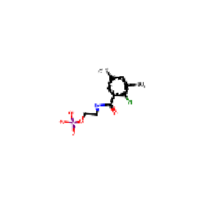 O=C(NCCOP(=O)(O)O)c1cc([N+](=O)[O-])cc([N+](=O)[O-])c1Cl